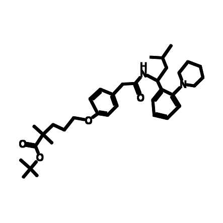 CC(C)CC(NC(=O)Cc1ccc(OCCCC(C)(C)C(=O)OC(C)(C)C)cc1)c1ccccc1N1CCCCC1